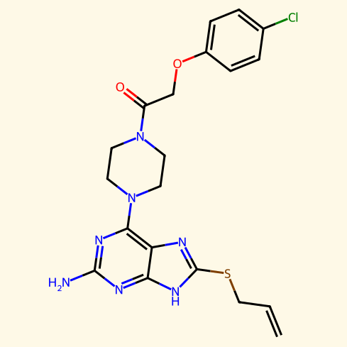 C=CCSc1nc2c(N3CCN(C(=O)COc4ccc(Cl)cc4)CC3)nc(N)nc2[nH]1